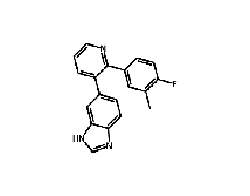 Cc1cc(-c2ncccc2-c2ccc3nc[nH]c3c2)ccc1F